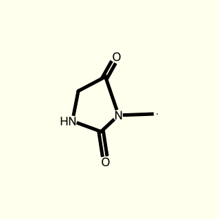 [CH2]N1C(=O)CNC1=O